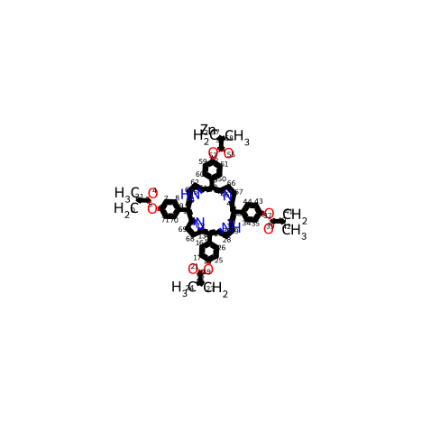 C=C(C)C(=O)Oc1ccc(-c2c3nc(c(-c4ccc(OC(=O)C(=C)C)cc4)c4ccc([nH]4)c(-c4ccc(OC(=O)C(=C)C)cc4)c4nc(c(-c5ccc(OC(=O)C(=C)C)cc5)c5ccc2[nH]5)C=C4)C=C3)cc1.[Zn]